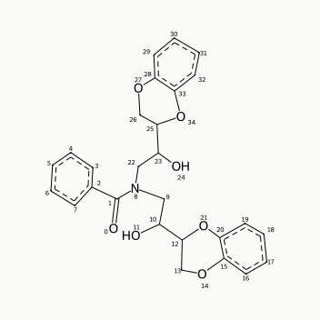 O=C(c1ccccc1)N(CC(O)C1COc2ccccc2O1)CC(O)C1COc2ccccc2O1